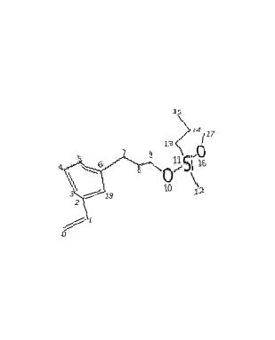 C=Cc1cccc(CCCO[Si](C)(CCC)OC)c1